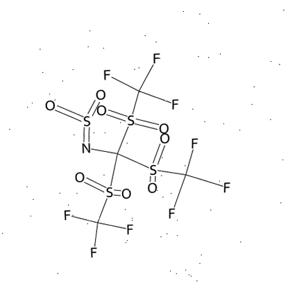 O=S(=O)=NC(S(=O)(=O)C(F)(F)F)(S(=O)(=O)C(F)(F)F)S(=O)(=O)C(F)(F)F